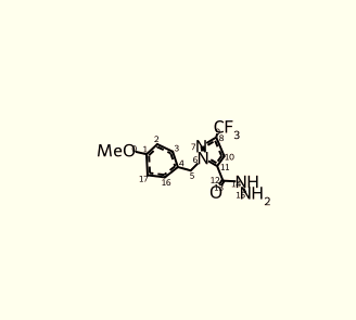 COc1ccc(Cn2nc(C(F)(F)F)cc2C(=O)NN)cc1